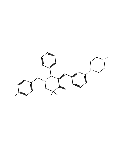 Cc1ccc(CN2CC(C)(C)C(=O)/C(=C\c3cccc(N4CCN(C)CC4)n3)C2c2ccccc2)cc1